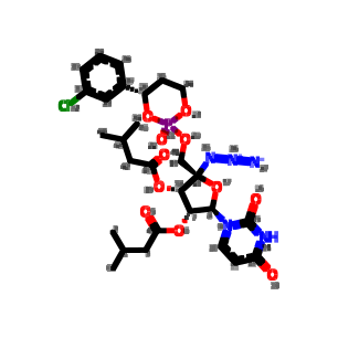 CC(C)CC(=O)O[C@H]1[C@H](n2ccc(=O)[nH]c2=O)O[C@@](COP2(=O)OCC[C@@H](c3cccc(Cl)c3)O2)(N=[N+]=[N-])[C@H]1OC(=O)CC(C)C